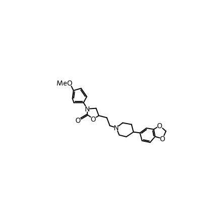 COc1ccc(N2CC(CCN3CCC(c4ccc5c(c4)OCO5)CC3)OC2=O)cc1